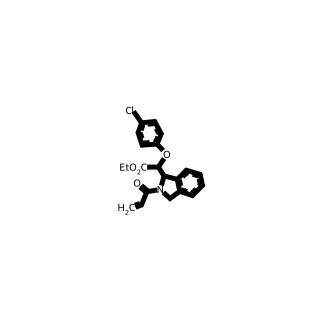 C=CC(=O)N1Cc2ccccc2C1C(Oc1ccc(Cl)cc1)C(=O)OCC